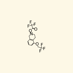 O=C(ON1CCc2c(cccc2OCC(F)(F)F)C1)C(F)(F)F